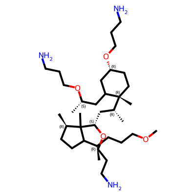 COCCC[C@@H](C)C1CC[C@@H](C)C1(C)[C@H](C[C@@H](C)[C@@]1(C)CC[C@@H](OCCCN)CC1C[C@H](C)OCCCN)OCCCN